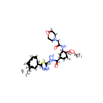 O=C(CN1CCOCC1)Nc1cc(C(=O)Nc2nnc(-c3cccc(C(F)(F)F)c3)s2)ccc1OC(F)(F)F